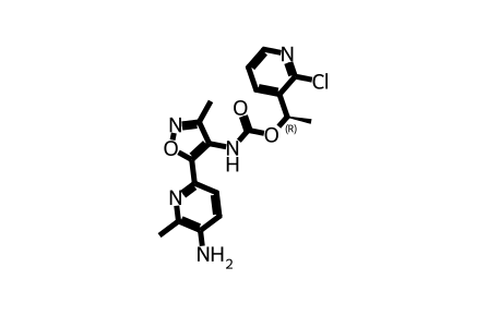 Cc1nc(-c2onc(C)c2NC(=O)O[C@H](C)c2cccnc2Cl)ccc1N